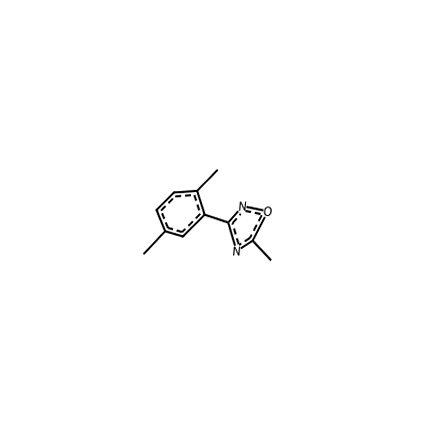 Cc1ccc(C)c(-c2noc(C)n2)c1